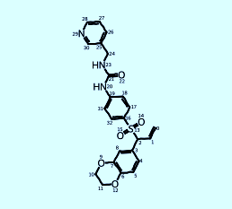 C=CC(c1ccc2c(c1)OCCO2)S(=O)(=O)c1ccc(NC(=O)NCc2cccnc2)cc1